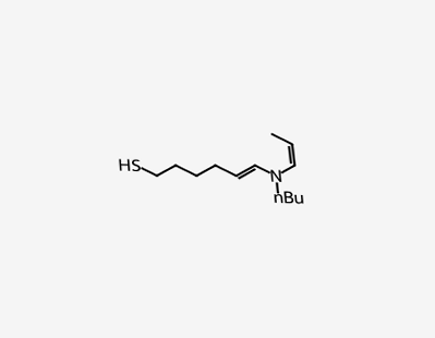 C/C=C\N(/C=C/CCCCS)CCCC